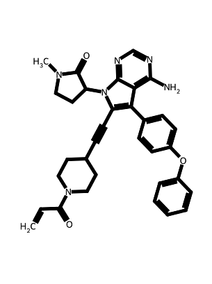 C=CC(=O)N1CCC(C#Cc2c(-c3ccc(Oc4ccccc4)cc3)c3c(N)ncnc3n2C2CCN(C)C2=O)CC1